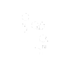 COC(=O)Nc1ccc(-c2cnc3ccc(C(=O)N(C)c4ccccc4)cn23)cn1